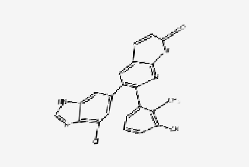 Cc1c(C#N)cccc1-c1nc2[nH]c(=O)ccc2cc1-c1cc(Cl)c2nc[nH]c2c1